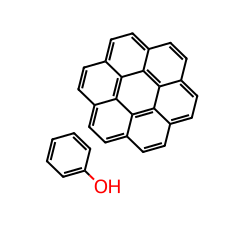 Oc1ccccc1.c1cc2ccc3ccc4ccc5ccc6ccc1c1c2c3c4c5c61